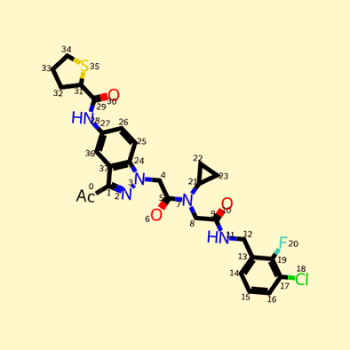 CC(=O)c1nn(CC(=O)N(CC(=O)NCc2cccc(Cl)c2F)C2CC2)c2ccc(NC(=O)C3CCCS3)cc12